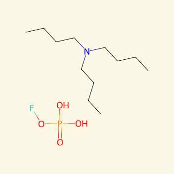 CCCCN(CCCC)CCCC.O=P(O)(O)OF